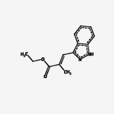 CCOC(=O)/C(C)=C/c1n[nH]c2ccccc12